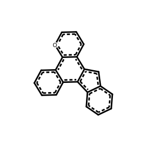 c1ccc2c(c1)cc1c3cccoc3c3ccccc3c21